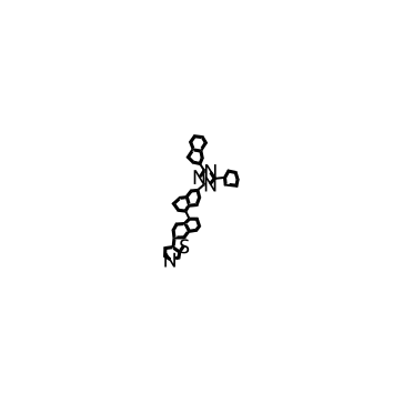 c1ccc(-c2nc(-c3ccc4ccccc4c3)nc(-c3ccc4c(-c5cccc6c5ccc5c7ccncc7sc65)cccc4c3)n2)cc1